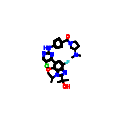 C[C@H]1COc2c(-c3nc(Nc4ccc(C(=O)N5CC[C@H](N(C)C)C5)cc4)ncc3Cl)cc(F)c3nc(C(C)(C)O)n1c23